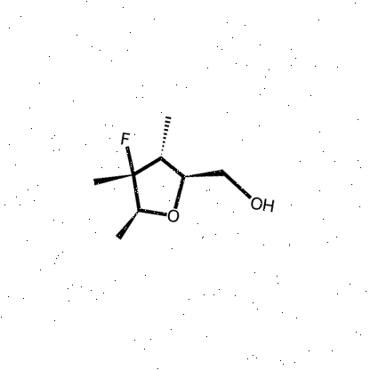 C[C@@H]1O[C@H](CO)[C@@H](C)[C@@]1(C)F